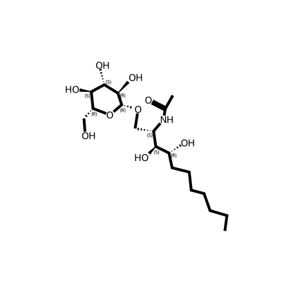 CCCCCCC[C@@H](O)[C@@H](O)[C@H](CO[C@@H]1O[C@H](CO)[C@@H](O)[C@H](O)[C@H]1O)NC(C)=O